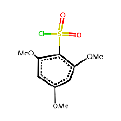 COc1cc(OC)c(S(=O)(=O)Cl)c(OC)c1